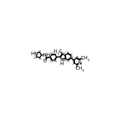 Cc1cc(-c2ccc3c(C)c(-c4ccc(C(=O)N[C@H]5CCNC5)cc4)[nH]c3c2)cc(C)n1